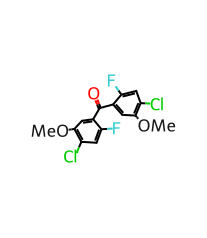 COc1cc(C(=O)c2cc(OC)c(Cl)cc2F)c(F)cc1Cl